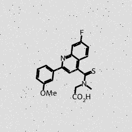 COc1cccc(-c2cc(C(=S)N(C)CC(=O)O)c3ccc(F)cc3n2)c1